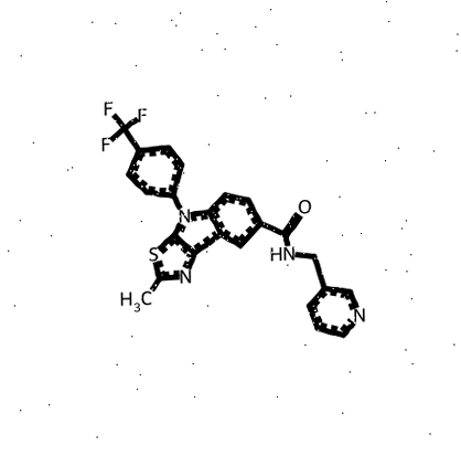 Cc1nc2c3cc(C(=O)NCc4cccnc4)ccc3n(-c3ccc(C(F)(F)F)cc3)c2s1